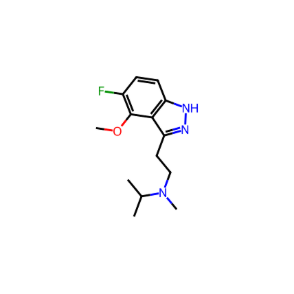 COc1c(F)ccc2[nH]nc(CCN(C)C(C)C)c12